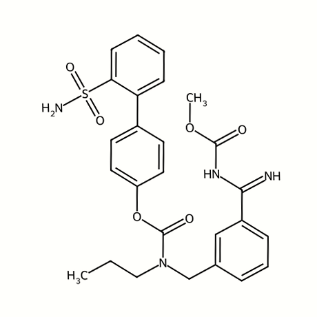 CCCN(Cc1cccc(C(=N)NC(=O)OC)c1)C(=O)Oc1ccc(-c2ccccc2S(N)(=O)=O)cc1